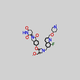 COC[C@@H]1CN(Cc2cc(F)c3nc(COC4CCN(C)CC4)ccc3c2)C[C@H]1Oc1ccc2c(c1)CN([C@H]1CCC(=O)NC1=O)C2=O